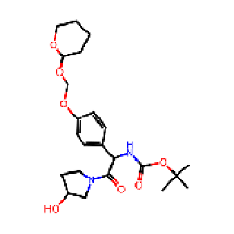 CC(C)(C)OC(=O)NC(C(=O)N1CCC(O)C1)c1ccc(OCOC2CCCCO2)cc1